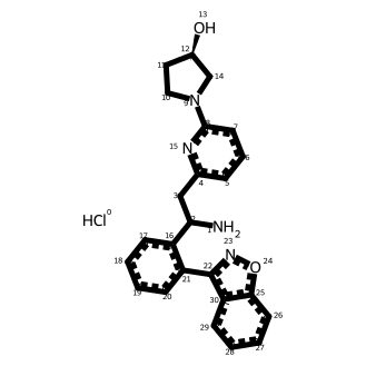 Cl.NC(Cc1cccc(N2CC[C@@H](O)C2)n1)c1ccccc1-c1noc2ccccc12